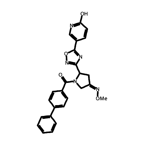 CON=C1CC(c2noc(-c3ccc(O)nc3)n2)N(C(=O)c2ccc(-c3ccccc3)cc2)C1